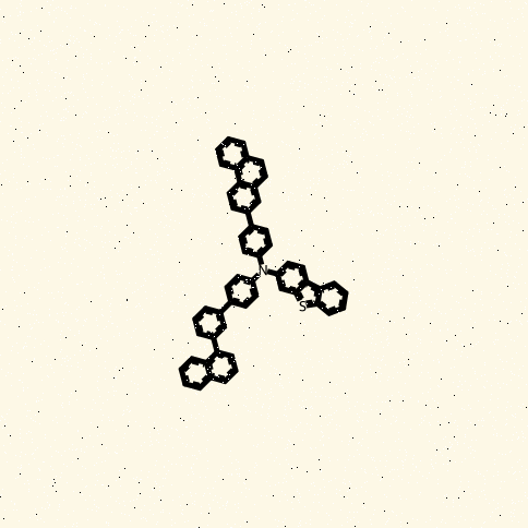 c1cc(-c2ccc(N(c3ccc(-c4ccc5c(ccc6ccccc65)c4)cc3)c3ccc4c(c3)sc3ccccc34)cc2)cc(-c2cccc3ccccc23)c1